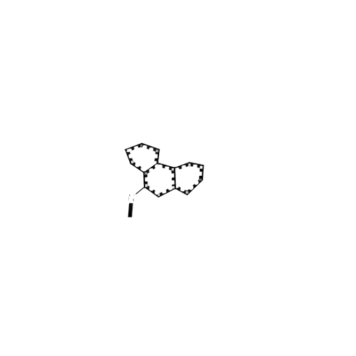 C=Nc1cc2ccccc2c2ccccc12